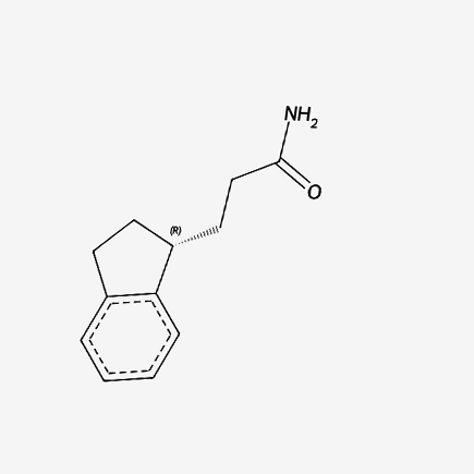 NC(=O)CC[C@H]1CCc2ccccc21